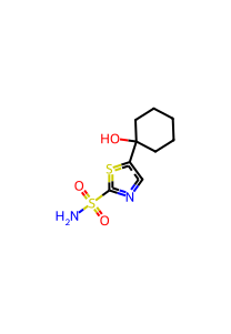 NS(=O)(=O)c1ncc(C2(O)CCCCC2)s1